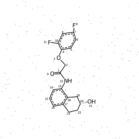 O=C(COc1ccc(F)cc1F)Nc1cccc2c1C[C@H](O)CC2